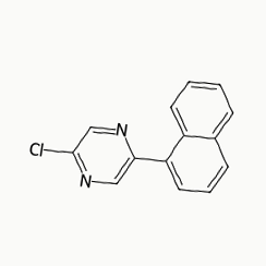 Clc1cnc(-c2cccc3ccccc23)cn1